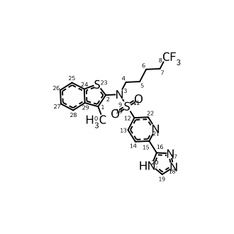 Cc1c(N(CCCCC(F)(F)F)S(=O)(=O)c2ccc(-c3nnc[nH]3)nc2)sc2ccccc12